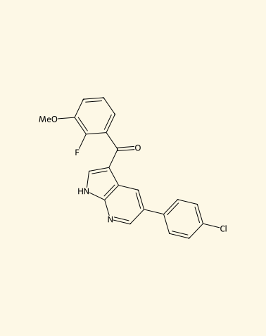 COc1cccc(C(=O)c2c[nH]c3ncc(-c4ccc(Cl)cc4)cc23)c1F